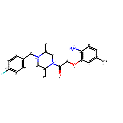 CC1CN(C(=O)COc2cc([N+](=O)[O-])ccc2N)C(C)CN1Cc1ccc(F)cc1